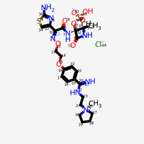 CC1(C)NC(=O)[C@@]1(NC(=O)/C(=N\OCCOc1ccc(C(=N)NCC[N+]2(C)CCCC2)cc1)c1csc(N)n1)OS(=O)(=O)O.[Cl-]